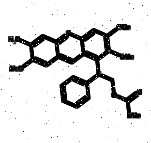 CNC(=O)OCN(c1ccccc1)c1c(OC)c(OC)cc2nc3cc(C)c(OC)cc3cc12